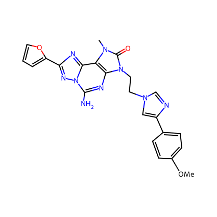 COc1ccc(-c2cn(CCn3c(=O)n(C)c4c3nc(N)n3nc(-c5ccco5)nc43)cn2)cc1